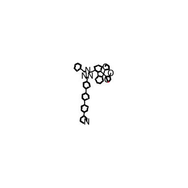 c1ccc(-c2nc(-c3ccc(-c4ccc(-c5ccc(-c6cccnc6)cc5)cc4)cc3)nc(-c3cccc4c3-c3ccccc3C43c4ccccc4Oc4ccccc43)n2)cc1